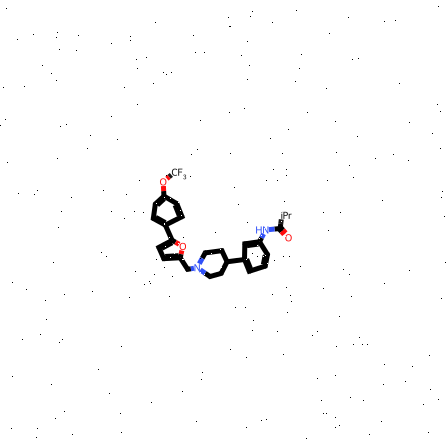 CC(C)C(=O)Nc1cccc(C2CCN(Cc3ccc(-c4ccc(OC(F)(F)F)cc4)o3)CC2)c1